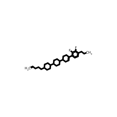 C=CCCCC1CCC(C2CCC(C3CC=C(c4ccc(CCC)c(F)c4F)CC3)CC2)CC1